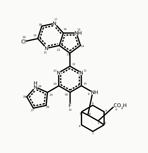 O=C(O)C1C2CCC(CC2)C1Nc1nc(-c2c[nH]c3ncc(Cl)nc23)nc(-c2ccc[nH]2)c1F